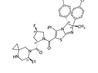 CC[C@H]1CNC2(CC2)CN1C(=O)[C@@H]1C[C@@H](F)CN1C(=O)C1=C(C(C)C)N2C(=N[C@@](C)(c3ccc(Cl)cc3)[C@H]2c2ccc(Cl)cc2)S1